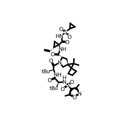 C=C[C@@H]1C[C@]1(NC(=O)[C@@H]1C[C@@]2(CN1C(=O)[C@@H](NC(=O)[C@@H](NS(=O)(=O)c1c(C)noc1C)C(C)(C)C)C(C)(C)C)C(C)(C)C21CCC1)C(=O)NS(=O)(=O)C1CC1